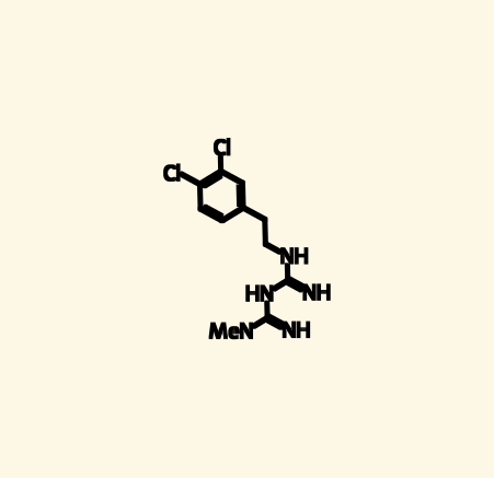 CNC(=N)NC(=N)NCCc1ccc(Cl)c(Cl)c1